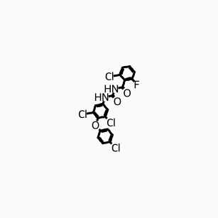 O=C(NC(=O)c1c(F)cccc1Cl)Nc1cc(Cl)c(Oc2ccc(Cl)cc2)c(Cl)c1